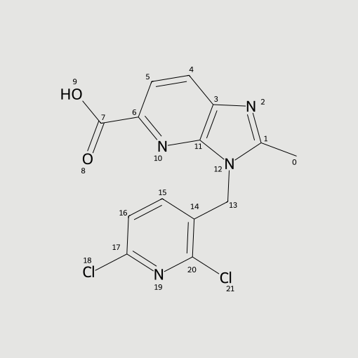 Cc1nc2ccc(C(=O)O)nc2n1Cc1ccc(Cl)nc1Cl